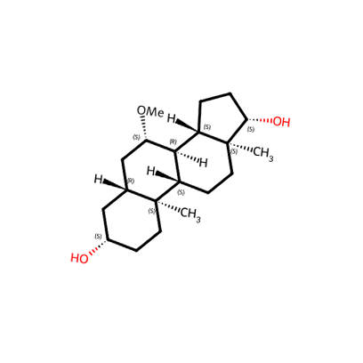 CO[C@H]1C[C@H]2C[C@@H](O)CC[C@]2(C)[C@H]2CC[C@]3(C)[C@@H](O)CC[C@H]3[C@H]12